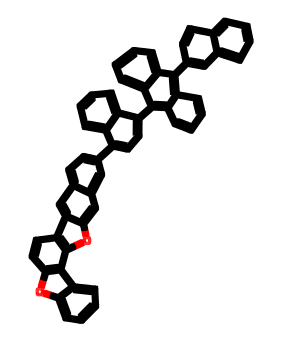 c1ccc2cc(-c3c4ccccc4c(-c4ccc(-c5ccc6cc7c(cc6c5)oc5c7ccc6oc7ccccc7c65)c5ccccc45)c4ccccc34)ccc2c1